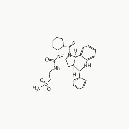 CS(=O)(=O)CCNC(=O)N[C@@H]1CCCC[C@@H]1C(=O)N1CC[C@@H]2[C@H](c3ccccc3)Nc3ccccc3[C@@H]21